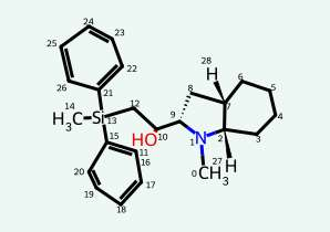 CN1[C@H]2CCCC[C@H]2C[C@H]1[C@H](O)C[Si](C)(c1ccccc1)c1ccccc1